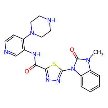 Cn1c(=O)n(-c2nnc(C(=O)Nc3cnccc3N3CCNCC3)s2)c2ccccc21